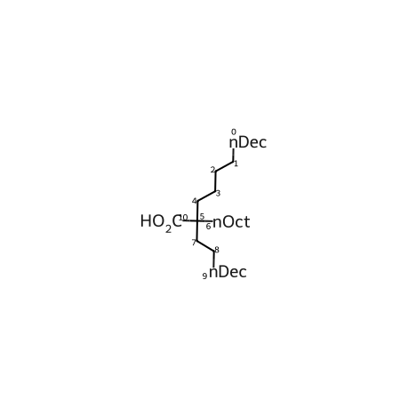 CCCCCCCCCCCCCCC(CCCCCCCC)(CCCCCCCCCCCC)C(=O)O